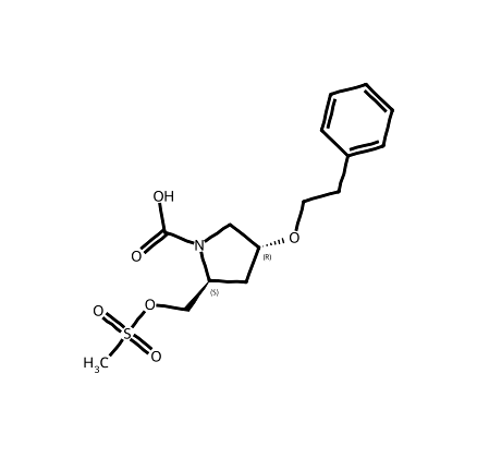 CS(=O)(=O)OC[C@@H]1C[C@@H](OCCc2ccccc2)CN1C(=O)O